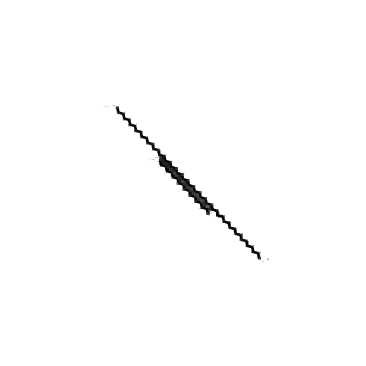 CCCCCCCCCCCCCCCCCCCCCCCCCCCCCCCCCCCCCCCCCCCCCCCCCCCCCCCCCCCCO.CCCCCCCCCCCCCCCCCCCCCCCCCCCCO